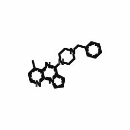 Cc1ccnc2c1nc(N1CCN(Cc3ccccc3)CC1)c1cccn12